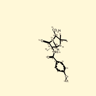 CCOc1ccc(C(=O)N[C@@]2(C)C(=O)N3[C@@H](C(=O)O)C(C)(C)S[C@@H]32)cc1